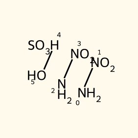 N[N+](=O)[O-].N[N+](=O)[O-].O=S(=O)(O)O